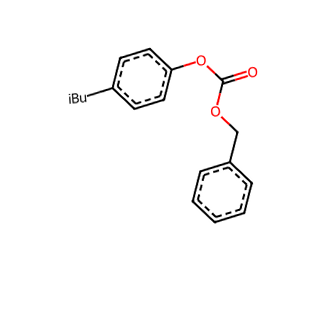 CCC(C)c1ccc(OC(=O)OCc2ccccc2)cc1